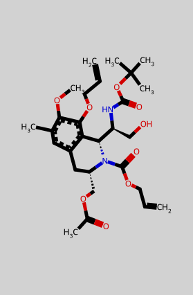 C=CCOC(=O)N1[C@H](COC(C)=O)Cc2cc(C)c(OC)c(OCC=C)c2[C@@H]1[C@H](CO)NC(=O)OC(C)(C)C